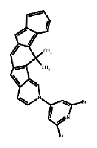 CC1(C)C2=c3ccccc3=CC2=Cc2cc3ccn(-c4cc(Br)nc(Br)c4)cc-3c21